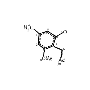 COc1cc(C)cc(Cl)c1CC(C)=O